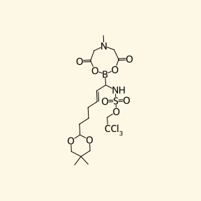 CN1CC(=O)OB(C(/C=C/CCCC2OCC(C)(C)CO2)NS(=O)(=O)OCC(Cl)(Cl)Cl)OC(=O)C1